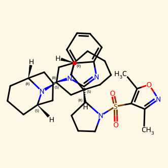 Cc1noc(C)c1S(=O)(=O)N1CCC[C@@H]1c1nc2ccccc2n1[C@@H]1C[C@H]2CCC[C@@H](C1)N2[C@H]1C[C@@H]2CCCC[C@@H](C2)C1